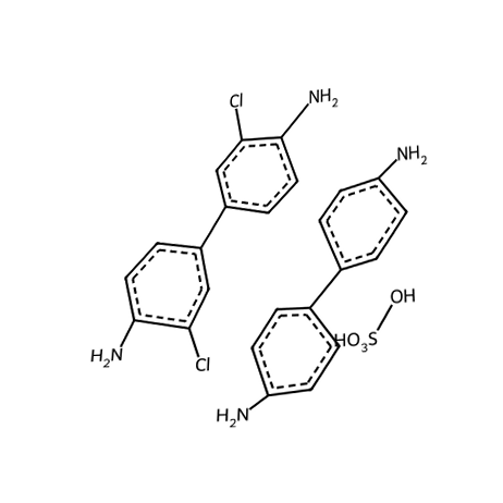 Nc1ccc(-c2ccc(N)c(Cl)c2)cc1Cl.Nc1ccc(-c2ccc(N)cc2)cc1.O=S(=O)(O)O